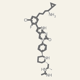 CC(=N)N[C@@H](C)C[C@@H]1CCC[C@@H](c2ccc(-n3cc4cc(-c5cc(CCC[C@@H](N)C6CC6)cc(Cl)c5F)[nH]c4nc3=O)cc2)N1